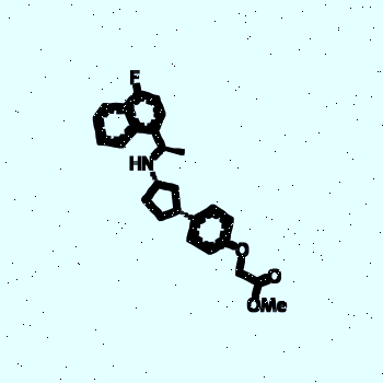 COC(=O)COc1ccc([C@@H]2CC[C@H](N[C@H](C)c3ccc(F)c4ccccc34)C2)cc1